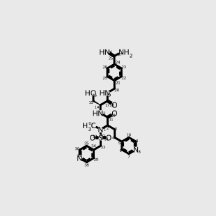 CN(C(CCc1ccncc1)C(=O)N[C@@H](CO)C(=O)NCc1ccc(C(=N)N)cc1)S(=O)(=O)Cc1ccncc1